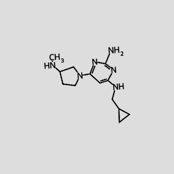 CNC1CCN(c2cc(NCC3CC3)nc(N)n2)C1